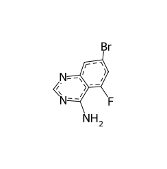 Nc1ncnc2cc(Br)cc(F)c12